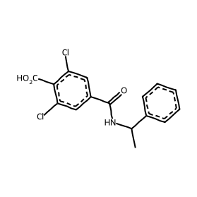 CC(NC(=O)c1cc(Cl)c(C(=O)O)c(Cl)c1)c1ccccc1